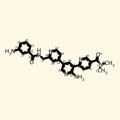 CN(C)C(=O)c1ccc(-c2cc(-c3ccnc(CNC(=O)c4cccc(N)c4)c3)cnc2N)nc1